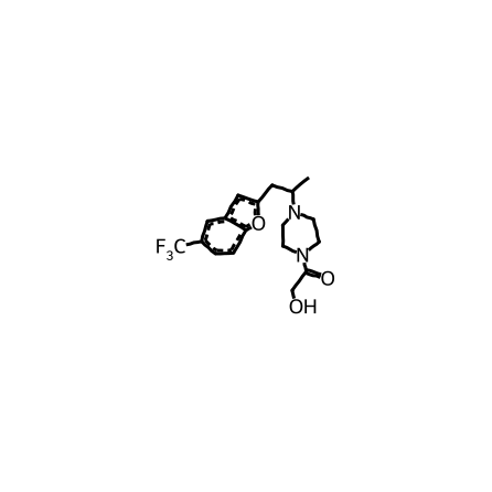 CC(Cc1cc2cc(C(F)(F)F)ccc2o1)N1CCN(C(=O)CO)CC1